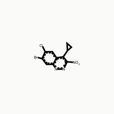 O=[N+]([O-])c1nnc2cc(Br)c(Cl)cc2c1C1CC1